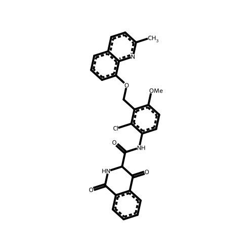 COc1ccc(NC(=O)C2NC(=O)c3ccccc3C2=O)c(Cl)c1COc1cccc2ccc(C)nc12